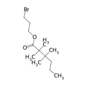 CCCC(C)(C)C(C)(C)C(=O)OCCCBr